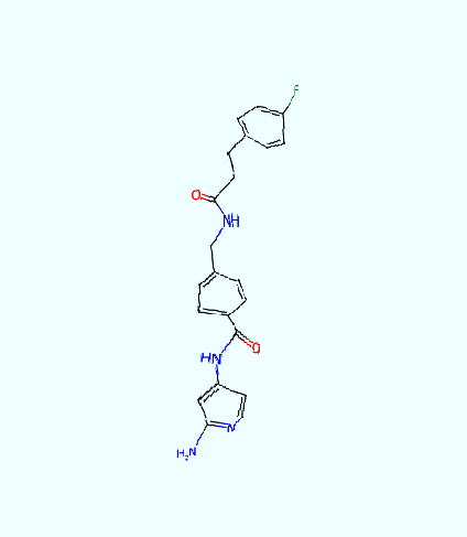 Nc1cc(NC(=O)c2ccc(CNC(=O)CCc3ccc(F)cc3)cc2)ccn1